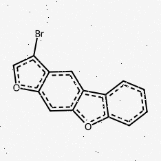 Brc1coc2cc3oc4ccccc4c3cc12